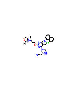 N#CC[C@H]1CN(c2nc(OCCCN3C[C@@H]4C[C@H]3CO4)nc3c2CCN(c2cccc4cccc(Cl)c24)C3)CCN1